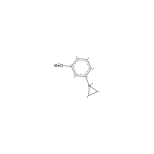 COc1cccc(N2CC2)c1